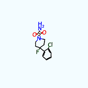 NS(=O)(=O)N1CCC(F)(c2ccccc2Cl)CC1